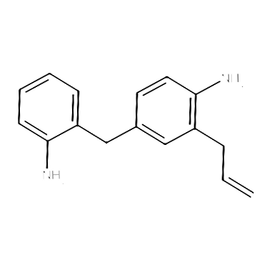 C=CCc1cc(Cc2ccccc2N)ccc1N